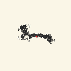 CCc1c(F)ccc2cc(O)cc(-c3ncc4c(N5CCC[C@@](C)(O)C5)nc(OCC5(CN6CCC7(CC6)CC(F)(CN6CCN(c8ccc9c(c8)oc(=O)n9C8CCC(=O)NC8=O)CC6)C7)CC5)nc4c3F)c12